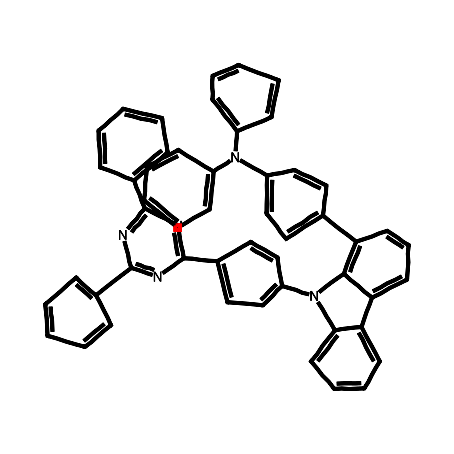 c1ccc(-c2nc(-c3ccccc3)nc(-c3ccc(-n4c5ccccc5c5cccc(-c6ccc(N(c7ccccc7)c7ccccc7)cc6)c54)cc3)n2)cc1